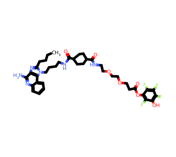 CCCCc1nc2c(N)nc3ccccc3c2n1CCCCNC(=O)C1CCC(C(=O)NCCOCCOCCC(=O)Oc2c(F)c(O)c(F)c(F)c2F)CC1